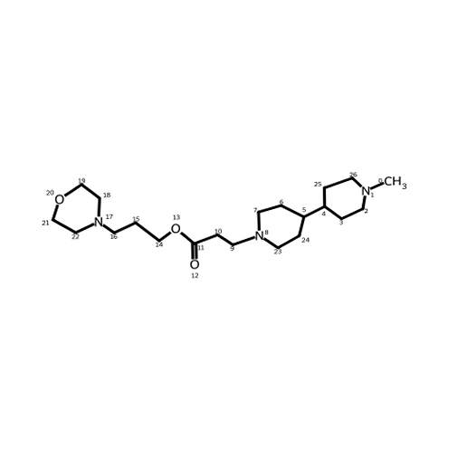 CN1CCC(C2CCN(CCC(=O)OCCCN3CCOCC3)CC2)CC1